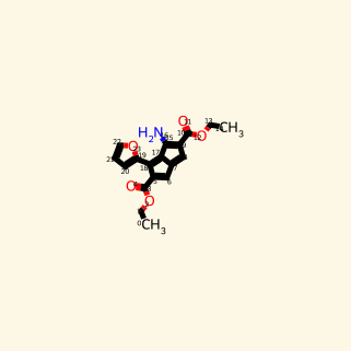 CCOC(=O)C1=CC2=CC(C(=O)OCC)=C(N)C2=C1c1ccco1